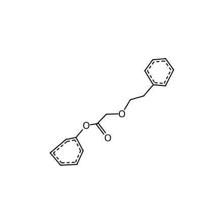 O=C(COCCc1ccccc1)Oc1ccccc1